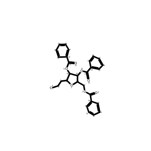 O=C(OCC1OC(CCCl)C(OC(=O)c2ccccc2)C1OC(=O)c1ccccc1)c1ccccc1